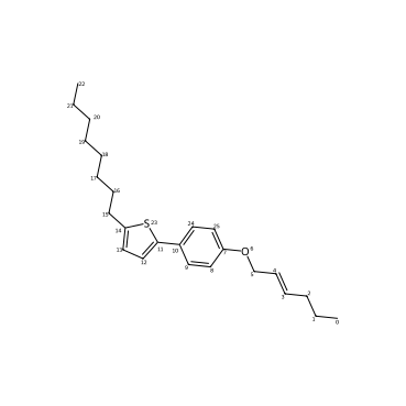 CCCC=CCOc1ccc(-c2ccc(CCCCCCCC)s2)cc1